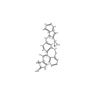 CC(=C1c2ccccc2CCc2cc(Cn3c(C4CC4)nc4cccnc43)ccc21)c1noc(=O)[nH]1